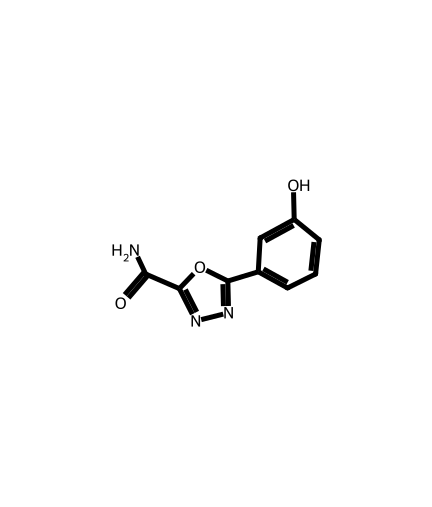 NC(=O)c1nnc(-c2cccc(O)c2)o1